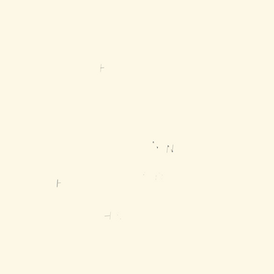 CCCC(=O)C1CC(=C(c2ccc(F)cc2)c2ccc(F)cc2)CCN1N1CCCCC1